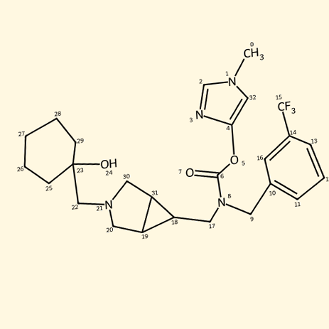 Cn1cnc(OC(=O)N(Cc2cccc(C(F)(F)F)c2)CC2C3CN(CC4(O)CCCCC4)CC32)c1